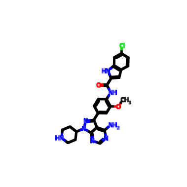 COc1cc(-c2nn(C3CCNCC3)c3ncnc(N)c23)ccc1NC(=O)c1cc2ccc(Cl)cc2[nH]1